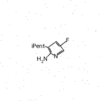 CCCC(C)c1cc(F)cnc1N